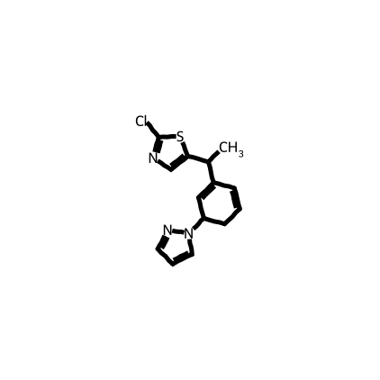 CC(C1=CC(n2cccn2)CC=C1)c1cnc(Cl)s1